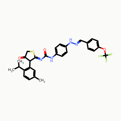 Cc1ccc(C(C)C)c(C2C(=O)CS/C2=N\C(=O)Nc2ccc(N/N=C/c3ccc(OC(F)(F)F)cc3)cc2)c1